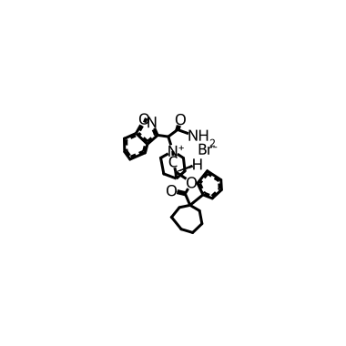 NC(=O)C(c1noc2ccccc12)[N+]12CCC(CC1)[C@@H](OC(=O)C1(c3ccccc3)CCCCCC1)C2.[Br-]